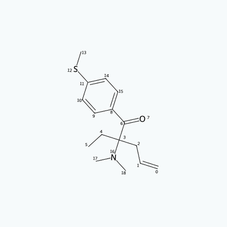 C=CCC(CC)(C(=O)c1ccc(SC)cc1)N(C)C